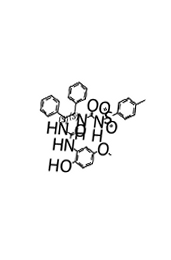 COc1ccc(O)c(NC(=O)N[C@@H](c2ccccc2)[C@@H](NC(=O)NS(=O)(=O)c2ccc(C)cc2)c2ccccc2)c1